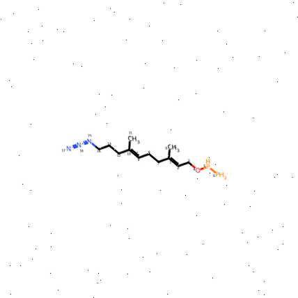 C/C(=C\COPP)CC/C=C(\C)CCCN=[N+]=[N-]